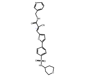 N#C/C(=C\c1ccc(-c2ccc(S(=O)(=O)NC3CCOCC3)cc2)o1)C(=O)NCc1cccnc1